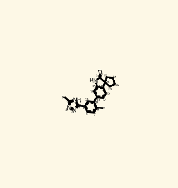 Cc1nnc(-c2ccc(C)c(-c3ccc4c(c3)NC(=O)C43CCCC3)c2)[nH]1